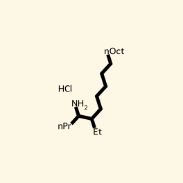 CCCCCCCCCCCCCC(CC)C(N)CCC.Cl